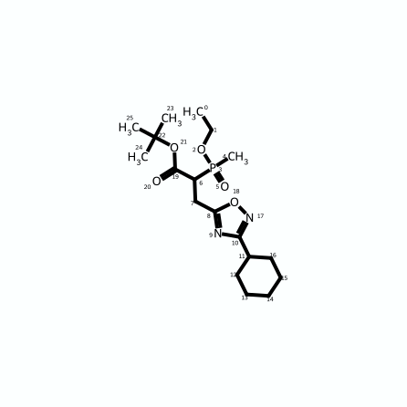 CCOP(C)(=O)C(Cc1nc(C2CCCCC2)no1)C(=O)OC(C)(C)C